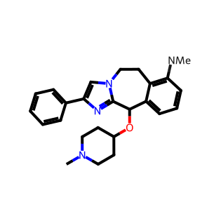 CNc1cccc2c1CCn1cc(-c3ccccc3)nc1C2OC1CCN(C)CC1